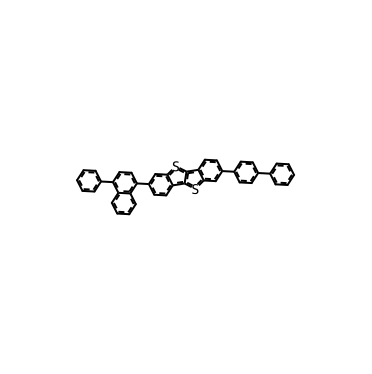 c1ccc(-c2ccc(-c3ccc4c(c3)sc3c5ccc(-c6ccc(-c7ccccc7)c7ccccc67)cc5sc43)cc2)cc1